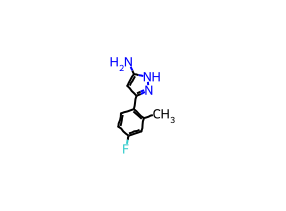 Cc1cc(F)ccc1-c1cc(N)[nH]n1